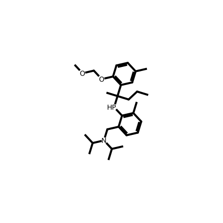 CCCC(C)(Pc1c(C)cccc1CN(C(C)C)C(C)C)c1cc(C)ccc1OCOC